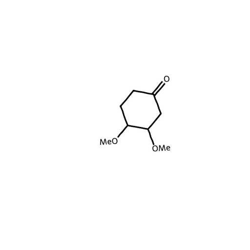 COC1CCC(=O)CC1OC